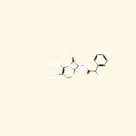 COC1=C(C(=O)O)N2C(=O)[C@@H](NC(=O)C(C#N)c3ccccc3)[C@@H]2SC1